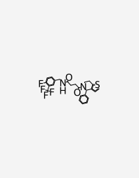 O=C(CCC(=O)N1CCc2sccc2C1c1ccccc1)NCc1ccc(F)c(C(F)(F)F)c1